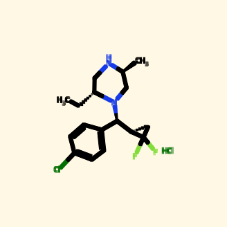 CC[C@@H]1CN[C@@H](C)CN1[C@H](c1ccc(Cl)cc1)[C@@H]1CC1(F)F.Cl